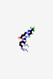 C=NC/C=C\c1c(C)sc2nc(Cn3nc(C(F)(F)F)cc3Cl)cc(=O)n12